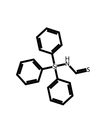 S=CN[Si](c1ccccc1)(c1ccccc1)c1ccccc1